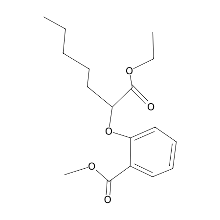 CCCCCC(Oc1ccccc1C(=O)OC)C(=O)OCC